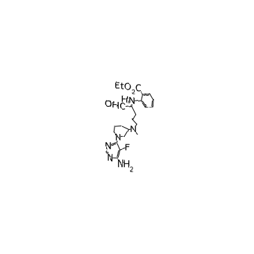 CCOC(=O)c1ccccc1NC(C=O)CCCN(C)C1CCCN(c2ncnc(N)c2F)C1